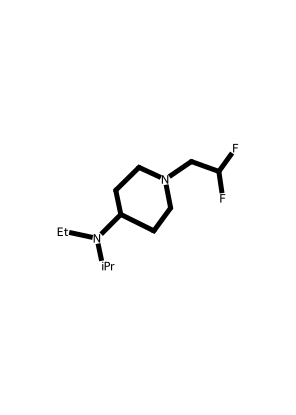 CCN(C(C)C)C1CCN(CC(F)F)CC1